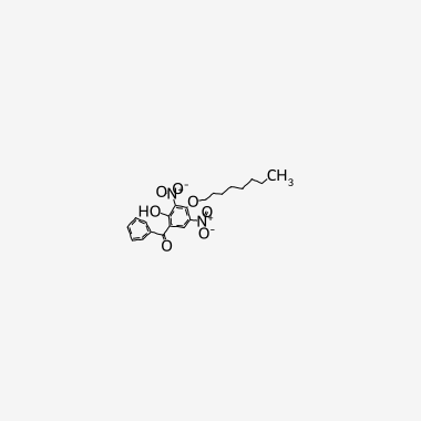 CCCCCCCCOc1c([N+](=O)[O-])cc(C(=O)c2ccccc2)c(O)c1[N+](=O)[O-]